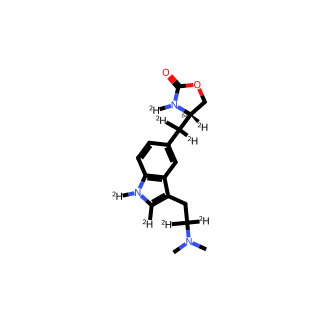 [2H]c1c(CC([2H])([2H])N(C)C)c2cc(C([2H])([2H])[C@@]3([2H])COC(=O)N3[2H])ccc2n1[2H]